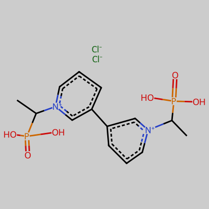 CC([n+]1cccc(-c2ccc[n+](C(C)P(=O)(O)O)c2)c1)P(=O)(O)O.[Cl-].[Cl-]